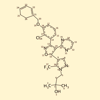 CC(C)(O)CCn1ncc(-c2onc(-c3cccc(OCC4=CC=CCC4)c3Cl)c2-c2ncccn2)c1C(F)(F)F